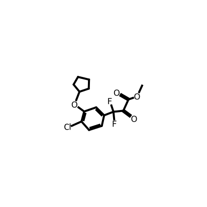 COC(=O)C(=O)C(F)(F)c1ccc(Cl)c(OC2CCCC2)c1